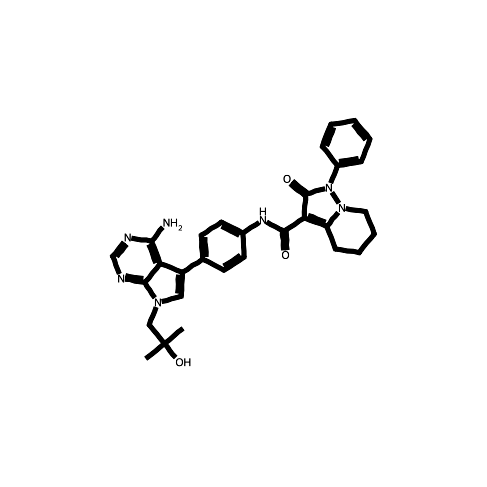 CC(C)(O)Cn1cc(-c2ccc(NC(=O)c3c4n(n(-c5ccccc5)c3=O)CCCC4)cc2)c2c(N)ncnc21